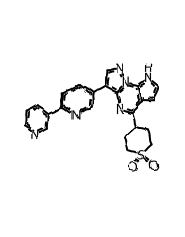 O=S1(=O)CCC(c2nc3c(-c4ccc(-c5cccnc5)nc4)cnn3c3[nH]ccc23)CC1